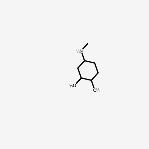 CNC1CCC(O)C(O)C1